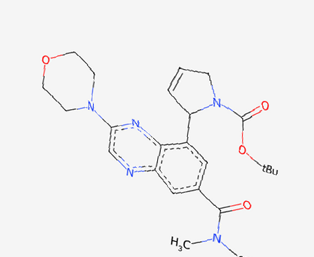 CN(C)C(=O)c1cc(C2C=CCN2C(=O)OC(C)(C)C)c2nc(N3CCOCC3)cnc2c1